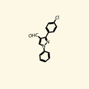 O=Cc1cn(-c2ccccc2)nc1-c1ccc(Cl)cc1